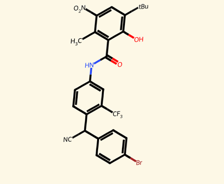 Cc1c([N+](=O)[O-])cc(C(C)(C)C)c(O)c1C(=O)Nc1ccc(C(C#N)c2ccc(Br)cc2)c(C(F)(F)F)c1